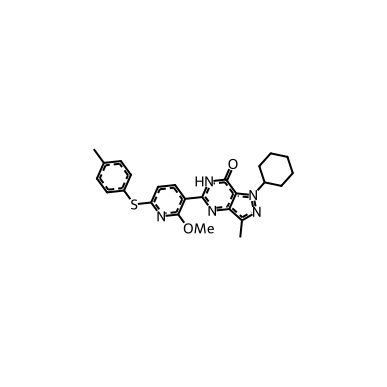 COc1nc(Sc2ccc(C)cc2)ccc1-c1nc2c(C)nn(C3CCCCC3)c2c(=O)[nH]1